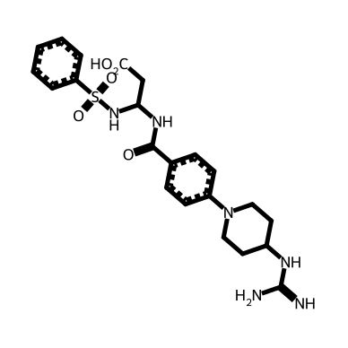 N=C(N)NC1CCN(c2ccc(C(=O)NC(CC(=O)O)NS(=O)(=O)c3ccccc3)cc2)CC1